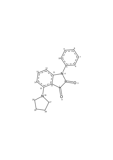 O=C1C(=O)N(c2ccccc2)c2cccc(N3CCCC3)c21